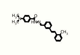 Cc1ccccc1/C=C/c1cccc(/C=N/NC(=O)c2ccc(N(C)C)cc2)c1